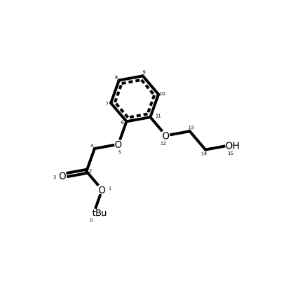 CC(C)(C)OC(=O)COc1ccccc1OCCO